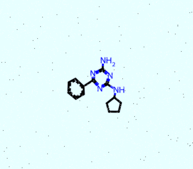 Nc1nc(NC2CCCC2)nc(-c2ccccc2)n1